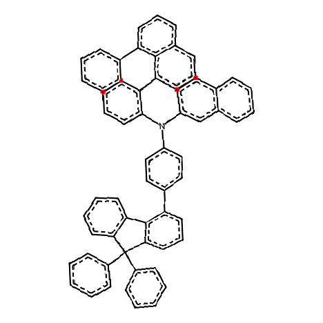 c1ccc(-c2cccc3cccc(-c4ccccc4N(c4ccc(-c5cccc6c5-c5ccccc5C6(c5ccccc5)c5ccccc5)cc4)c4ccc5ccccc5c4)c23)cc1